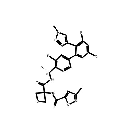 Cc1cc(C(=O)NC2(C(=O)N[C@H](C)c3ncc(-c4cc(Cl)cc(F)c4-c4nnn(C)n4)cc3F)COC2)on1